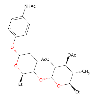 CC[C@H]1O[C@H](Oc2ccc(NC(C)=O)cc2)CCC1O[C@H]1O[C@H](CC)[C@@H](C)[C@H](OC(C)=O)[C@H]1OC(C)=O